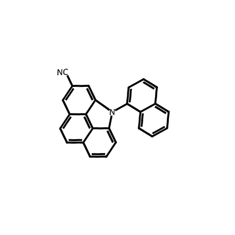 N#Cc1cc2ccc3cccc4c3c2c(c1)n4-c1cccc2ccccc12